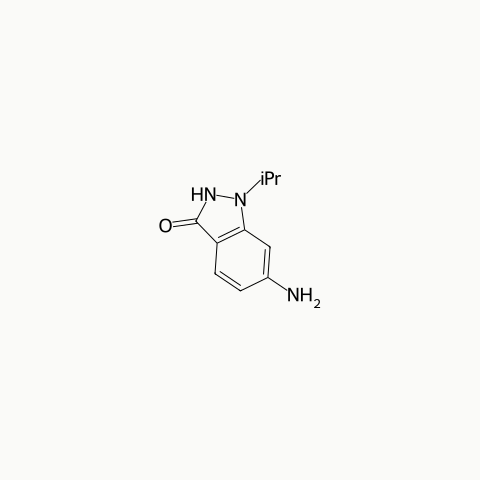 CC(C)n1[nH]c(=O)c2ccc(N)cc21